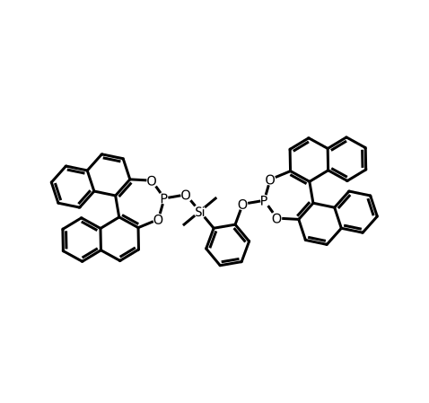 C[Si](C)(Op1oc2ccc3ccccc3c2c2c(ccc3ccccc32)o1)c1ccccc1Op1oc2ccc3ccccc3c2c2c(ccc3ccccc32)o1